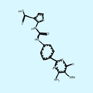 COC(=O)c1ccsc1NC(=O)Nc1ccc(-c2nc(N)c(SC)c(Cl)n2)cc1